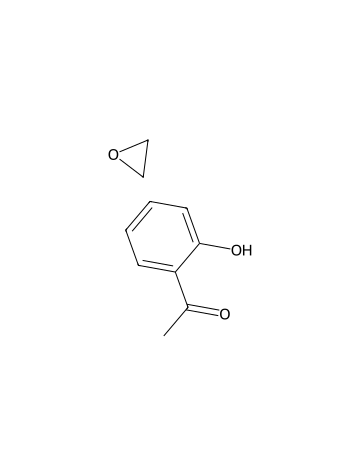 C1CO1.CC(=O)c1ccccc1O